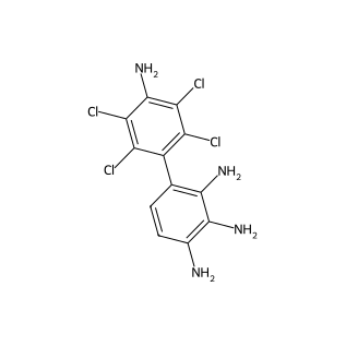 Nc1ccc(-c2c(Cl)c(Cl)c(N)c(Cl)c2Cl)c(N)c1N